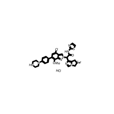 COc1c(-c2ccc(N3CCNCC3)cc2)cc(Cl)c2cn(C(C(=O)Nc3nccs3)c3ncn4c3C[C@@H](F)C4)nc12.Cl